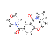 O=C(c1ccc2c(c1)C(=O)N1CCC[C@H]1CO2)N1CCOCC1